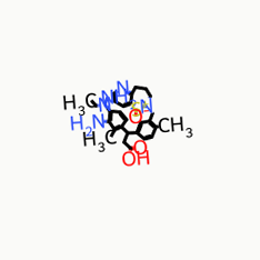 CCN(N)c1ccc(C(CC(=O)O)c2ccc(C)c(CN3CCCc4ncccc4[S+]3[O-])c2)c(C)c1N